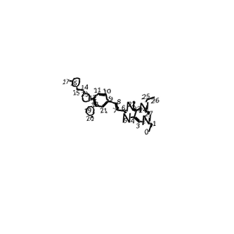 CCN1C=C2N=C(C=Cc3ccc(OCCOC)c(OC)c3)N=C2N(CC)C1